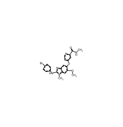 CNC(=O)c1cc(Oc2cc3nc(Nc4ccc(Br)cc4)n(C)c3cc2OC)ccn1